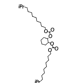 CC(C)CCCCCCCCCOC(=O)OC1CCCCC1OC(=O)OCCCCCCCCCC(C)C